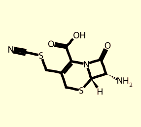 N#CSCC1=C(C(=O)O)N2C(=O)[C@H](N)[C@@H]2SC1